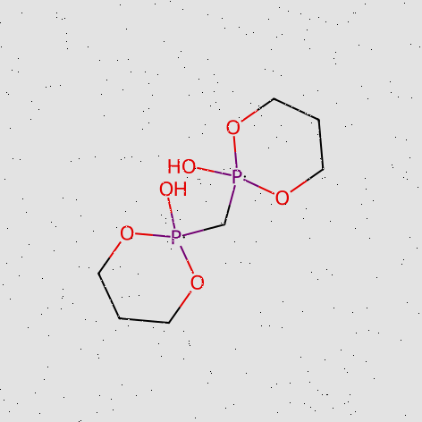 O[P]1(C[P]2(O)OCCCO2)OCCCO1